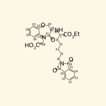 CCOC(=O)C(CCCCCN1C(=O)c2ccccc2C1=O)N[C@H]1COc2ccccc2N(CC(=O)O)C1=O